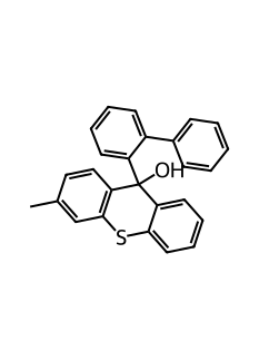 Cc1ccc2c(c1)Sc1ccccc1C2(O)c1ccccc1-c1ccccc1